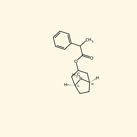 CC(C(=O)OC1C[C@H]2CC[C@@H](C1)N2C)c1ccccc1